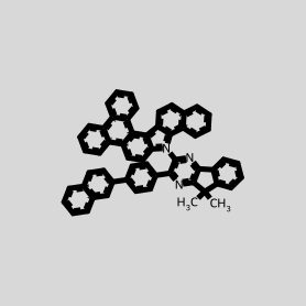 CC1(C)c2ccccc2-c2nc(-n3c4ccc5c6ccccc6c6ccccc6c5c4c4ccc5ccccc5c43)c(-c3ccc(-c4ccc5ccccc5c4)cc3)nc21